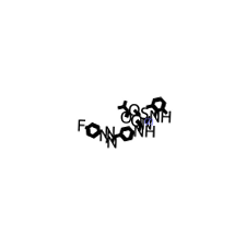 Cc1cccc(C)c1N/C(=N/C(=O)Nc1ccc(-c2ncn(-c3ccc(F)cc3)n2)cc1)SCOC(=O)C(C)C